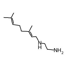 CC(C)=CCC/C(C)=C/CNCCN